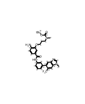 CN(CCCOc1cc(C(=O)Nc2cccc(-c3cc4ncn(C)c4cc3C(F)(F)F)c2)ccc1N)C(=O)OC(C)(C)C